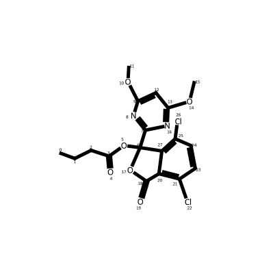 CCCC(=O)OC1(c2nc(OC)cc(OC)n2)OC(=O)c2c(Cl)ccc(Cl)c21